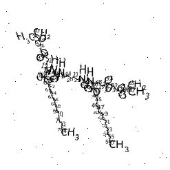 C=C(C)C(=O)OCCOC(=O)CC[C@H](NC(=O)NCCCCCNC(=O)N[C@@H](CCC(=O)OCCOC(=O)C(=C)C)C(=O)OCCCCCCCCCCCCCC)C(=O)OCCCCCCCCCCCCCC